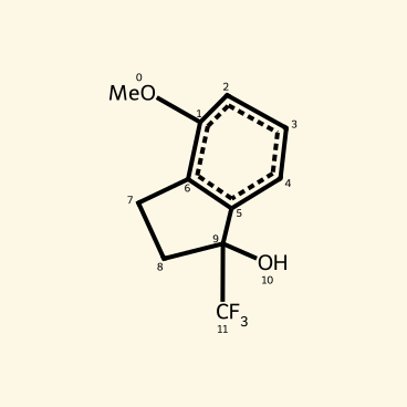 COc1cccc2c1CCC2(O)C(F)(F)F